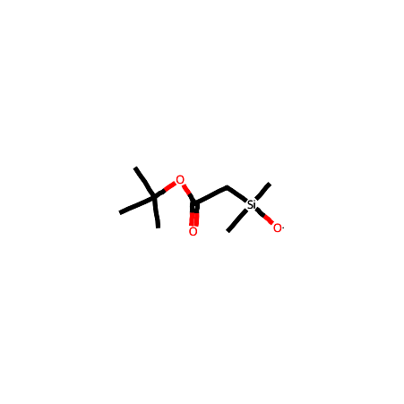 CC(C)(C)OC(=O)C[Si](C)(C)[O]